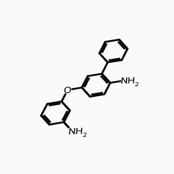 Nc1cccc(Oc2ccc(N)c(-c3ccccc3)c2)c1